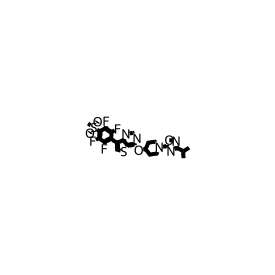 CC(C)c1noc(N2CCC(Oc3ncnc4c(-c5c(F)c(F)c(S(C)(=O)=O)c(F)c5F)csc34)CC2)n1